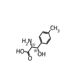 Cc1ccc([C@@H](O)[C@H](N)C(=O)O)cc1